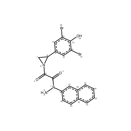 NN(C(=O)C(=O)N1CC1c1cc(Br)c(O)c(Br)c1)c1ccc2ccccc2c1